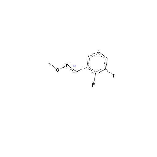 CO/N=C/c1c[c]cc(F)c1F